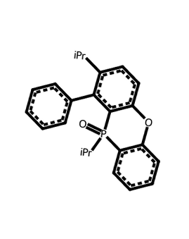 CC(C)c1ccc2c(c1-c1ccccc1)P(=O)(C(C)C)c1ccccc1O2